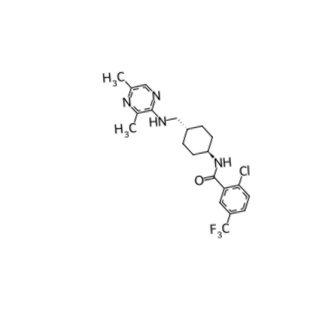 Cc1cnc(NC[C@H]2CC[C@H](NC(=O)c3cc(C(F)(F)F)ccc3Cl)CC2)c(C)n1